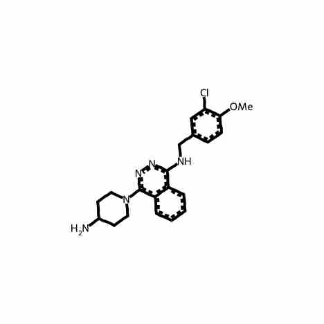 COc1ccc(CNc2nnc(N3CCC(N)CC3)c3ccccc23)cc1Cl